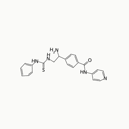 NC(CNC(=S)Nc1ccccc1)c1ccc(C(=O)Nc2ccncc2)cc1